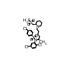 C[C@H](CCCCN1CCCCC1CS(C)(=O)=O)N(c1cc(Cl)ccc1Cl)S(=O)(=O)c1ccc(Cl)cc1